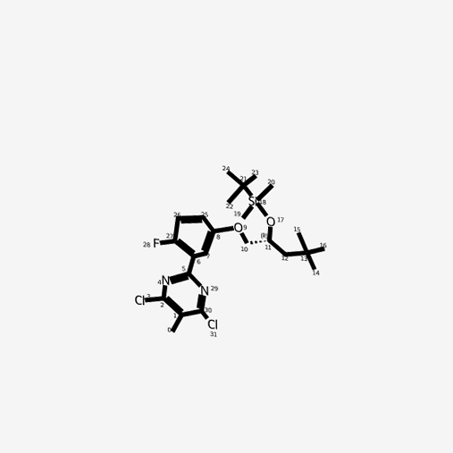 Cc1c(Cl)nc(-c2cc(OC[C@@H]([CH]C(C)(C)C)O[Si](C)(C)C(C)(C)C)ccc2F)nc1Cl